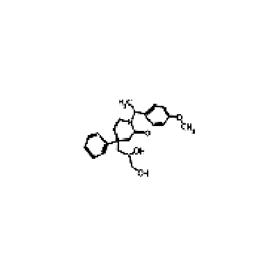 COc1ccc([C@H](C)N2CCC(CC(O)CO)(c3ccccc3)CC2=O)cc1